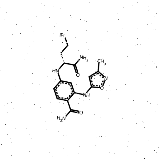 Cc1cc(Nc2cc(N[C@H](CCC(C)C)C(N)=O)ccc2C(N)=O)on1